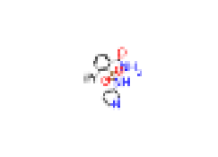 CC(C)c1cccc(C(N)=O)c1S(=O)(=O)Nc1cccnc1